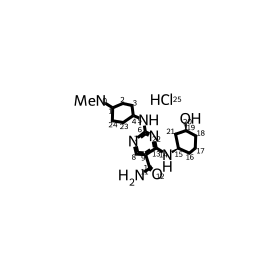 CNC1CCC(Nc2ncc(C(N)=O)c(N[C@@H]3CCC[C@H](O)C3)n2)CC1.Cl